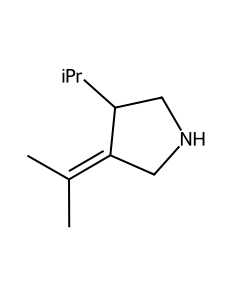 CC(C)=C1CNCC1C(C)C